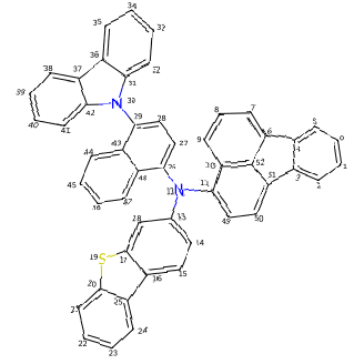 c1ccc2c(c1)-c1cccc3c(N(c4ccc5c(c4)sc4ccccc45)c4ccc(-n5c6ccccc6c6ccccc65)c5ccccc45)ccc-2c13